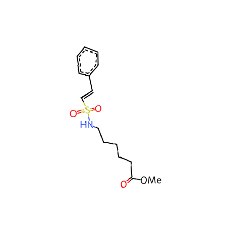 COC(=O)CCCCCNS(=O)(=O)/C=C/c1ccccc1